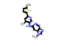 CCc1cc(-c2ccc(C#N)s2)ncc1Nc1cc2c(cn1)ncn2C